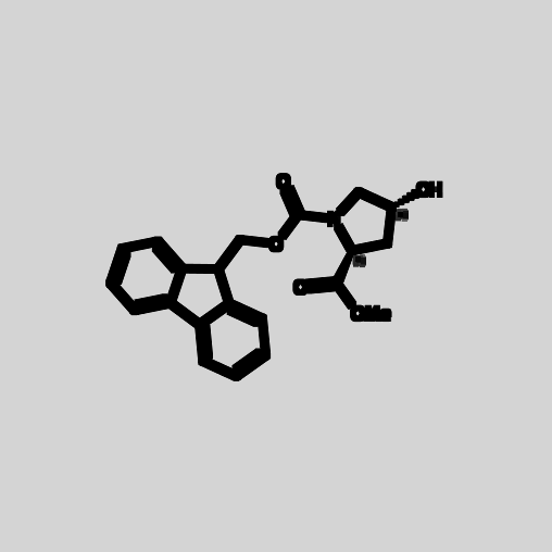 COC(=O)[C@@H]1C[C@@H](O)CN1C(=O)OCC1c2ccccc2-c2ccccc21